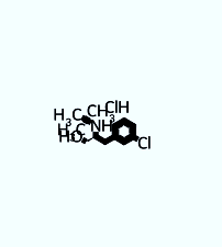 CC(C)(C)N[C@@H](CO)Cc1cccc(Cl)c1.Cl